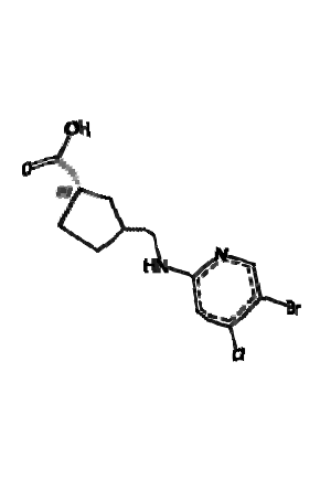 O=C(O)[C@H]1CCC(CNc2cc(Cl)c(Br)cn2)C1